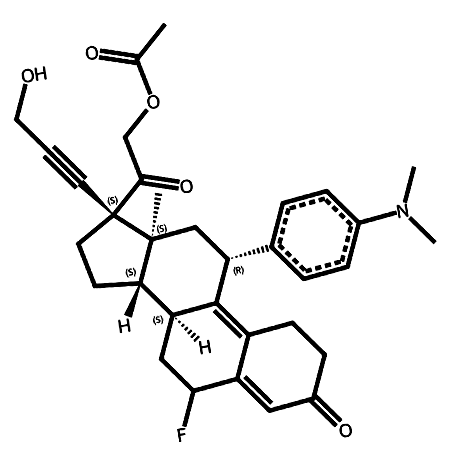 CC(=O)OCC(=O)[C@@]1(C#CCO)CC[C@H]2[C@@H]3CC(F)C4=CC(=O)CCC4=C3[C@@H](c3ccc(N(C)C)cc3)C[C@@]21C